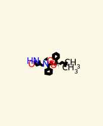 CC(C)CC[C@@H](OC1OCCN(CC2=CC(=O)NC2)C1c1ccccc1)c1ccccc1